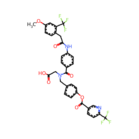 COc1ccc(CC(=O)Nc2ccc(C(=O)N(CC(=O)O)Cc3ccc(OC(=O)c4ccc(C(F)(F)F)nc4)cc3)cc2)c(C(F)(F)F)c1